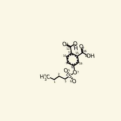 CCCCS(=O)(=O)Oc1ccc(C(=O)O)c(C(=O)O)c1